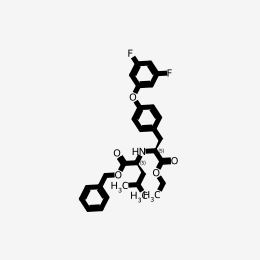 CCOC(=O)[C@H](Cc1ccc(Oc2cc(F)cc(F)c2)cc1)N[C@@H](CC(C)C)C(=O)OCc1ccccc1